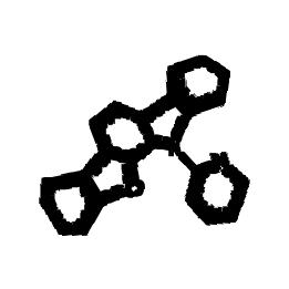 c1ccc(-n2c3ccccc3c3ccc4c5ccccc5oc4c32)nc1